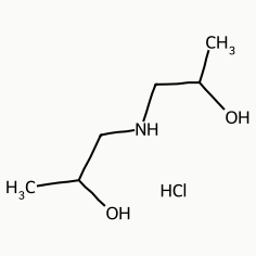 CC(O)CNCC(C)O.Cl